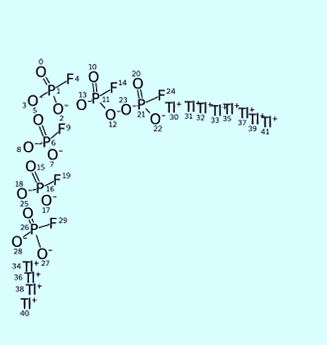 O=P([O-])([O-])F.O=P([O-])([O-])F.O=P([O-])([O-])F.O=P([O-])([O-])F.O=P([O-])([O-])F.O=P([O-])([O-])F.[Tl+].[Tl+].[Tl+].[Tl+].[Tl+].[Tl+].[Tl+].[Tl+].[Tl+].[Tl+].[Tl+].[Tl+]